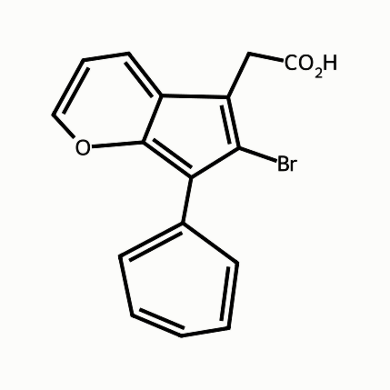 O=C(O)Cc1c2cccoc-2c(-c2ccccc2)c1Br